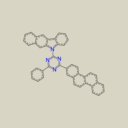 c1ccc(-c2nc(-c3ccc4c(ccc5c6ccccc6ccc45)c3)nc(-n3c4ccccc4c4cc5ccccc5cc43)n2)cc1